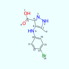 Cc1[nH]nc(C(=O)O)c1Nc1ccc(Br)cc1